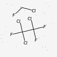 FC(F)(Cl)C(F)(Cl)Cl.F[C]Cl